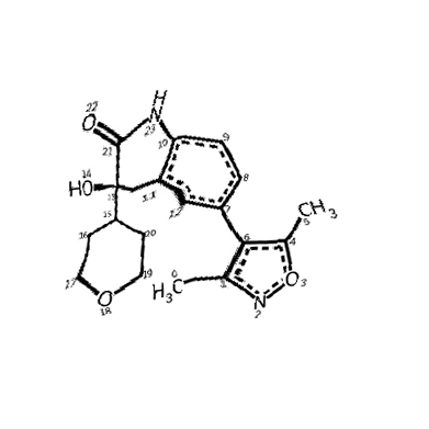 Cc1noc(C)c1-c1ccc2c(c1)[C@](O)(C1CCOCC1)C(=O)N2